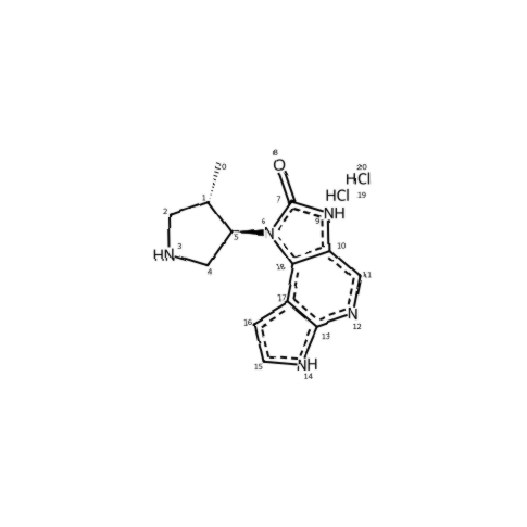 C[C@H]1CNC[C@@H]1n1c(=O)[nH]c2cnc3[nH]ccc3c21.Cl.Cl